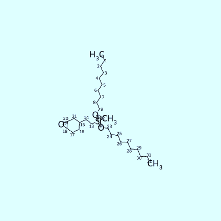 CCCCCCCCCCO[Si](C)(CCC1CCC2OC2C1)OCCCCCCCCCC